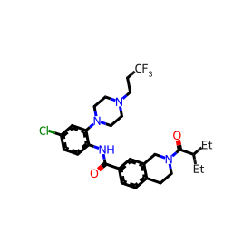 CCC(CC)C(=O)N1CCc2ccc(C(=O)Nc3ccc(Cl)cc3N3CCN(CCC(F)(F)F)CC3)cc2C1